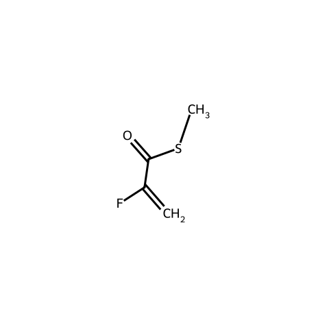 C=C(F)C(=O)SC